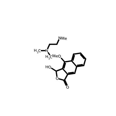 CNCCN(C)C.COc1c2c(cc3ccccc13)C(=O)OC2O